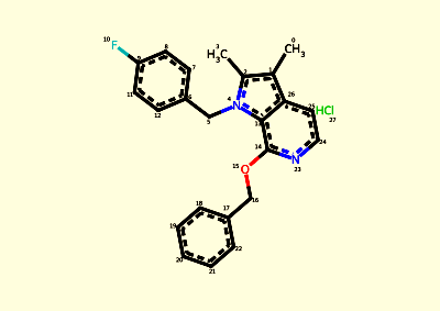 Cc1c(C)n(Cc2ccc(F)cc2)c2c(OCc3ccccc3)nccc12.Cl